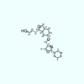 Cc1oc(-c2ccccc2)nc1COc1ccc2coc(CC=CO)c2c1